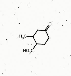 CC1CC(=O)CCC1C(=O)O